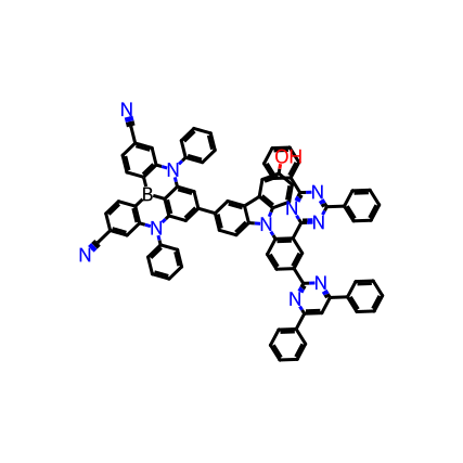 N#Cc1ccc2c(c1)N(c1ccccc1)c1cc(-c3ccc4c(c3)c3cc(O)ccc3n4-c3ccc(-c4nc(-c5ccccc5)cc(-c5ccccc5)n4)cc3-c3nc(-c4ccccc4)nc(-c4ccccc4)n3)cc3c1B2c1ccc(C#N)cc1N3c1ccccc1